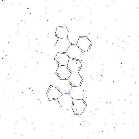 CC1=CC=CCC1N(c1ccccc1)c1ccc2ccc3c(N(c4ccccc4)c4ccccc4C)ccc4ccc1c2c43